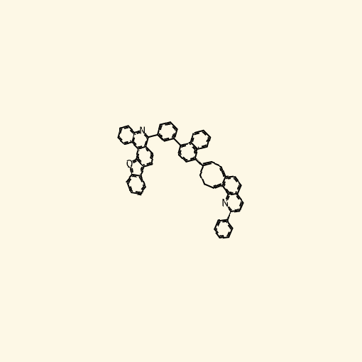 C1=c2/ccc3ccc(-c4ccccc4)nc3/c2=C/CC\C(c2ccc(-c3cccc(-c4nc5ccccc5c5c4ccc4c6ccccc6oc45)c3)c3ccccc23)=C/1